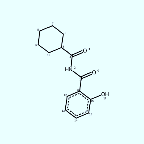 O=C(NC(=O)C1CCCCC1)c1ccccc1O